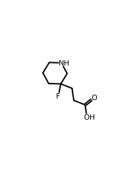 O=C(O)CCC1(F)CCCNC1